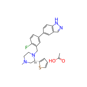 CC(=O)O.CN1CCN(Cc2cc(-c3ccc4[nH]ncc4c3)ccc2F)[C@H](c2cccs2)C1